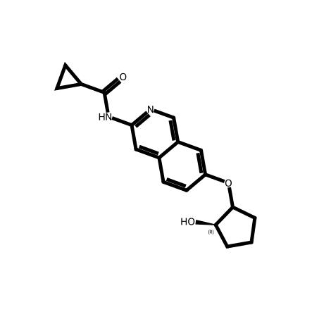 O=C(Nc1cc2ccc(OC3CCC[C@H]3O)cc2cn1)C1CC1